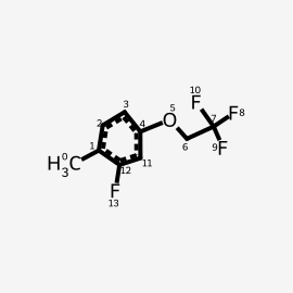 Cc1ccc(OCC(F)(F)F)cc1F